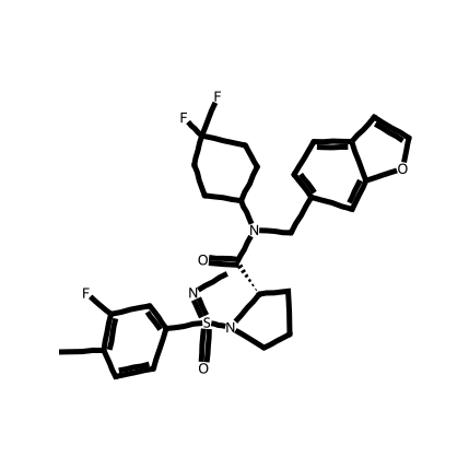 CN=S(=O)(c1ccc(C)c(F)c1)N1CCC[C@H]1C(=O)N(Cc1ccc2ccoc2c1)C1CCC(F)(F)CC1